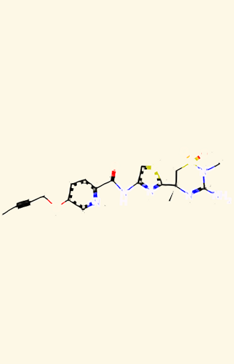 CC#CCOc1ccc(C(=O)Nc2csc([C@]3(C)CS(=O)(=O)N(C)C(N)=N3)n2)nc1